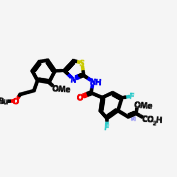 CCCCOCCc1cccc(-c2csc(NC(=O)c3cc(F)c(/C=C(\OC)C(=O)O)c(F)c3)n2)c1OC